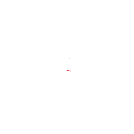 CO.Cl.[Eu]